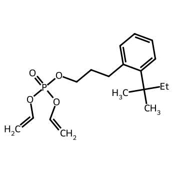 C=COP(=O)(OC=C)OCCCc1ccccc1C(C)(C)CC